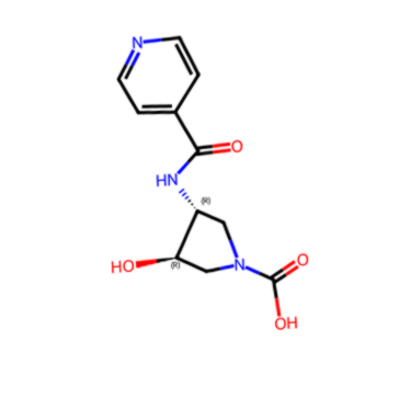 O=C(N[C@@H]1CN(C(=O)O)C[C@H]1O)c1ccncc1